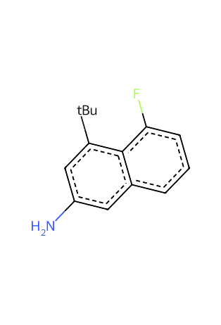 CC(C)(C)c1cc(N)cc2cccc(F)c12